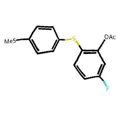 CSc1ccc(Sc2ccc(F)cc2OC(C)=O)cc1